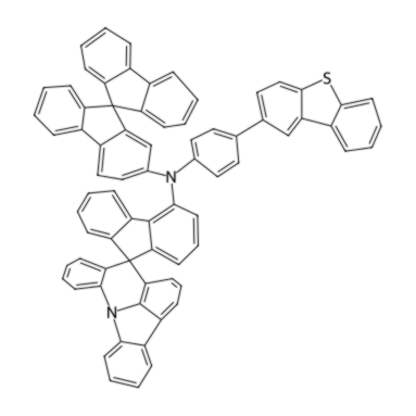 c1ccc2c(c1)-c1ccccc1C21c2ccccc2-c2ccc(N(c3ccc(-c4ccc5sc6ccccc6c5c4)cc3)c3cccc4c3-c3ccccc3C43c4ccccc4-n4c5ccccc5c5cccc3c54)cc21